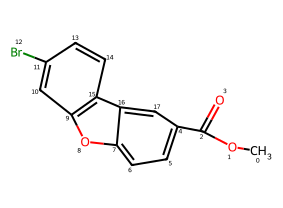 COC(=O)c1ccc2oc3cc(Br)ccc3c2c1